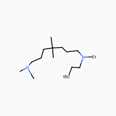 CCN(CCCC(C)(C)CCCN(C)C)CCC(C)(C)C